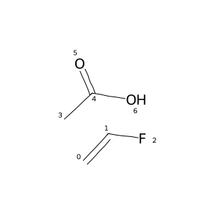 C=CF.CC(=O)O